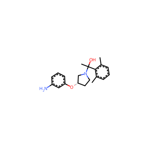 Cc1cccc(C)c1C(C)(O)N1CC[C@H](Oc2cccc(N)c2)C1